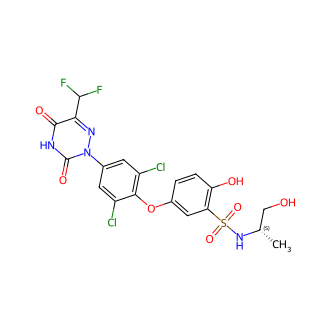 C[C@@H](CO)NS(=O)(=O)c1cc(Oc2c(Cl)cc(-n3nc(C(F)F)c(=O)[nH]c3=O)cc2Cl)ccc1O